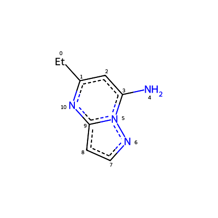 CCc1cc(N)n2nccc2n1